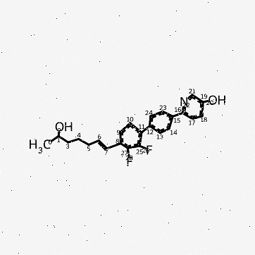 CC(O)CCCC=Cc1ccc(-c2ccc(-c3ccc(O)cn3)cc2)c(F)c1F